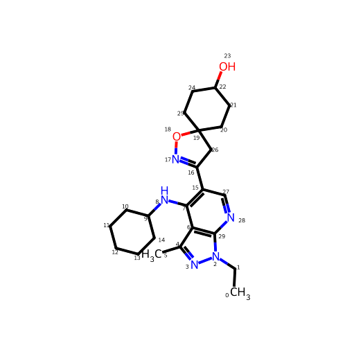 CCn1nc(C)c2c(NC3CCCCC3)c(C3=NOC4(CCC(O)CC4)C3)cnc21